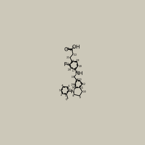 Cc1ccccc1N1CCCc2ccc(CNc3ccc(CCC(=O)O)c(F)c3)cc21